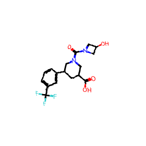 O=C(O)C1CC(c2cccc(C(F)(F)F)c2)CN(C(=O)N2CC(O)C2)C1